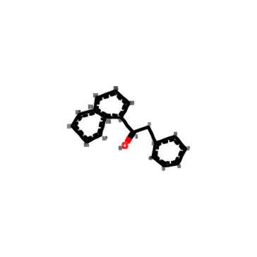 O=C(Cc1ccccc1)c1cccc2ccccc12